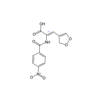 O=C(O)/C(=C/C1=COOC1)NC(=O)c1ccc([N+](=O)[O-])cc1